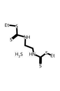 CCSC(=S)NCCNC(=S)SCC.S